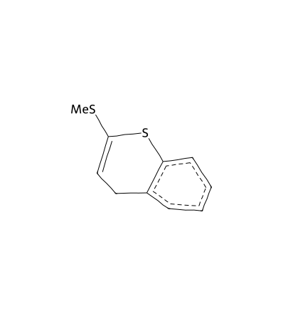 [CH2]SC1=CCc2ccccc2S1